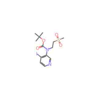 CC(C)(C)OC(=O)N(CCS(C)(=O)=O)c1cnccc1I